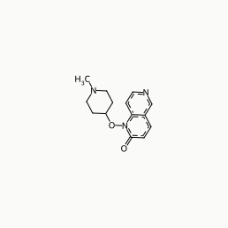 CN1CCC(On2c(=O)ccc3cnccc32)CC1